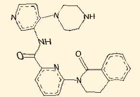 O=C(Nc1cnccc1N1CCNCC1)c1cccc(N2CCc3ccccc3C2=O)n1